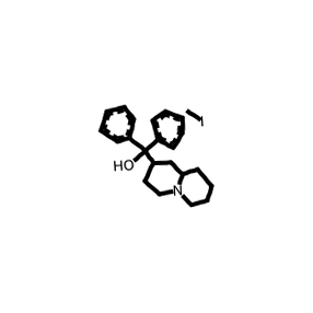 CI.OC(c1ccccc1)(c1ccccc1)C1CCN2CCCCC2C1